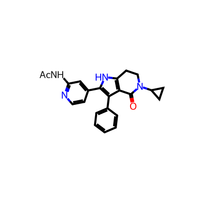 CC(=O)Nc1cc(-c2[nH]c3c(c2-c2ccccc2)C(=O)N(C2CC2)CC3)ccn1